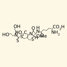 CO[C@@]1(NC(=O)CCCC(N)C(=O)O)C(=O)N2C(C(=O)O)=C(CSC(=S)N(CCO)CCO)CS[C@H]21